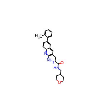 Cc1ccccc1-c1ccc2nc(N)c(CCC(=O)NCC3CCOCC3)cc2c1